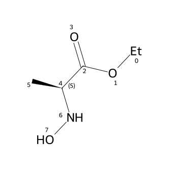 CCOC(=O)[C@H](C)NO